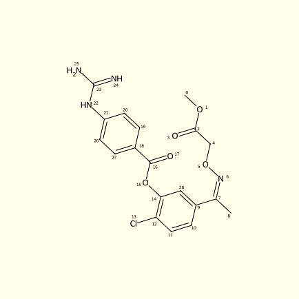 COC(=O)CO/N=C(/C)c1ccc(Cl)c(OC(=O)c2ccc(NC(=N)N)cc2)c1